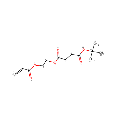 C=CC(=O)OCCOC(=O)CCC(=O)OC(C)(C)C